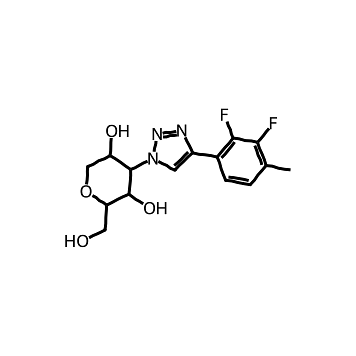 Cc1ccc(-c2cn(C3C(O)COC(CO)C3O)nn2)c(F)c1F